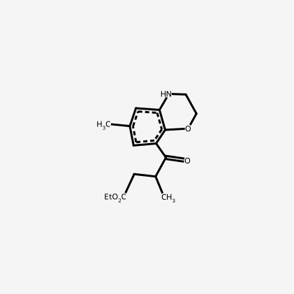 CCOC(=O)CC(C)C(=O)c1cc(C)cc2c1OCCN2